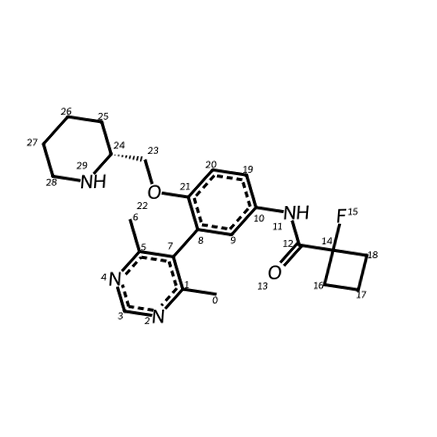 Cc1ncnc(C)c1-c1cc(NC(=O)C2(F)CCC2)ccc1OC[C@H]1CCCCN1